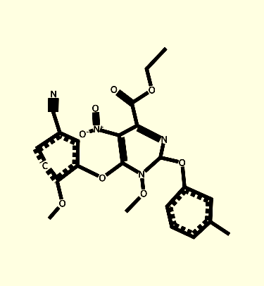 CCOC(=O)C1=NC(Oc2cccc(C)c2)N(OC)C(Oc2cc(C#N)ccc2OC)=C1[N+](=O)[O-]